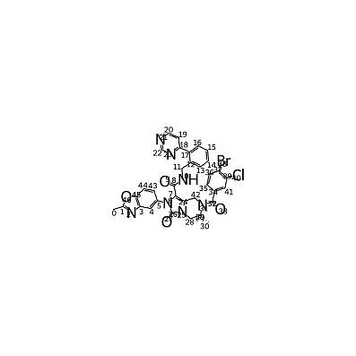 Cc1nc2cc(-n3c(C(=O)NCc4ccccc4-c4ccncn4)c4n(c3=O)C[C@@H](C)N(C(=O)c3ccc(Br)c(Cl)c3)C4)ccc2o1